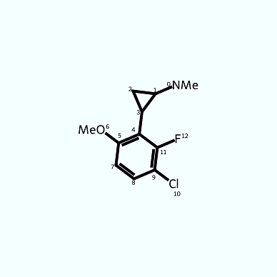 CNC1CC1c1c(OC)ccc(Cl)c1F